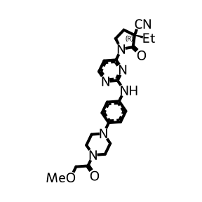 CC[C@]1(C#N)CCN(c2ccnc(Nc3ccc(N4CCN(C(=O)COC)CC4)cc3)n2)C1=O